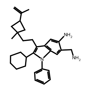 C=C(C)C1CC(C)(CCc2c(C3CCCCC3)n(-c3ccccc3)c3cc(CN)c(N)cc23)C1